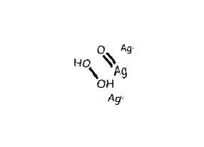 OO.[Ag].[Ag].[O]=[Ag]